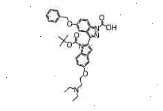 CCN(CC)CCOc1ccc2c(c1)cc(-c1nn(C(=O)O)c3ccc(OCc4ccccc4)cc13)n2C(=O)OC(C)(C)C